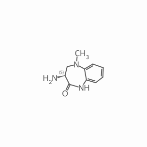 CN1C[C@H](N)C(=O)Nc2ccccc21